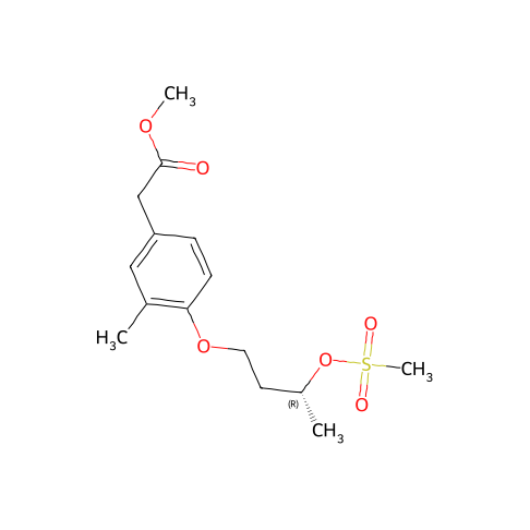 COC(=O)Cc1ccc(OCC[C@@H](C)OS(C)(=O)=O)c(C)c1